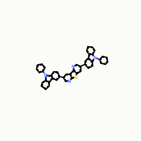 c1ccc(-n2c3ccccc3c3cc(-c4cnc5c(c4)sc4ncc(-c6ccc7c(c6)c6ccccc6n7-c6ccccc6)cc45)ccc32)cc1